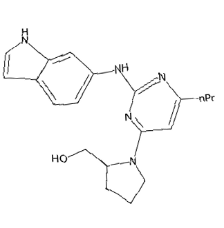 CCCc1cc(N2CCCC2CO)nc(Nc2ccc3cc[nH]c3c2)n1